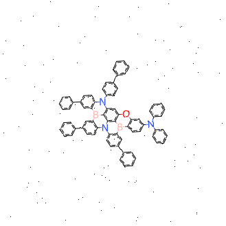 c1ccc(-c2ccc(N3c4ccc(-c5ccccc5)cc4B4c5cc(-c6ccccc6)ccc5N5c6ccc(-c7ccccc7)cc6B6c7ccc(N(c8ccccc8)c8ccccc8)cc7Oc7cc3c4c5c76)cc2)cc1